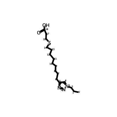 CCCn1cc(CCCCCCCCCSCCC(=O)O)nn1